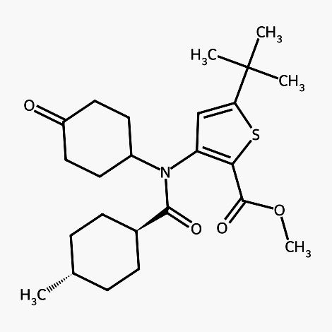 COC(=O)c1sc(C(C)(C)C)cc1N(C(=O)[C@H]1CC[C@H](C)CC1)C1CCC(=O)CC1